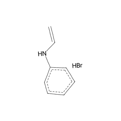 Br.C=CNc1ccccc1